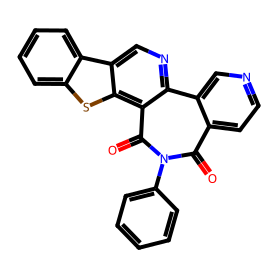 O=c1c2ccncc2c2ncc3c4ccccc4sc3c2c(=O)n1-c1ccccc1